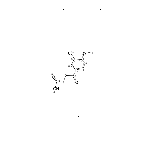 COc1ccc(C(=O)CCC(=O)O)cc1Cl